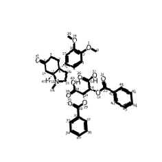 COc1ccc([C@@]23CCC(=O)C[C@@H]2N(C)CC3)cc1OC.O=C(O[C@H](C(=O)O)[C@H](OC(=O)c1ccccc1)C(=O)O)c1ccccc1